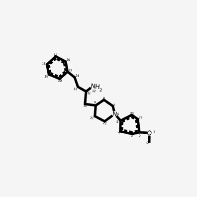 COc1ccc(N2CCC(CC(N)CCc3ccccc3)CC2)cc1